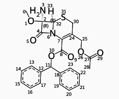 CO[C@]1(N)C(=O)N2C(C(=O)OC(c3ccccc3)c3ccccc3)=C(COC(C)=O)CS[C@@H]21